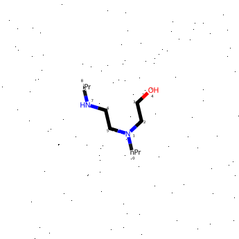 CCCN(CCO)CCNC(C)C